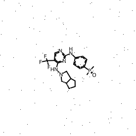 CP(C)(=O)c1ccc(Nc2ncc(C(F)(F)F)c(NN3CC4CCCC4C3)n2)cc1